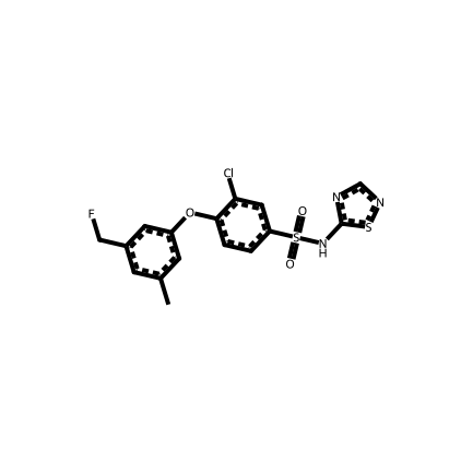 Cc1cc(CF)cc(Oc2ccc(S(=O)(=O)Nc3ncns3)cc2Cl)c1